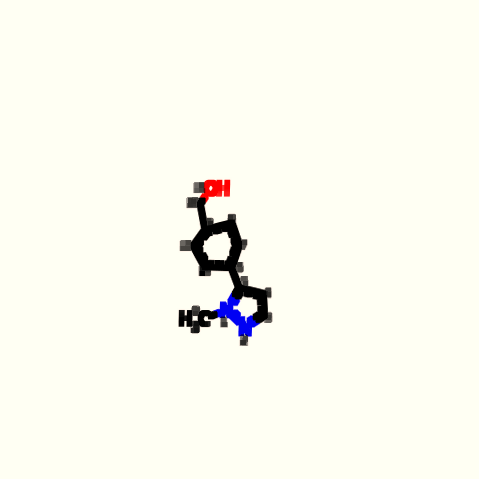 Cn1nccc1-c1ccc(CO)cc1